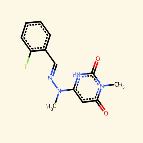 CN(N=Cc1ccccc1F)c1cc(=O)n(C)c(=O)[nH]1